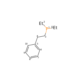 CCP(CC)CCc1cc[c]cc1